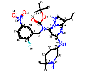 CCc1cnn2c(N(Cc3cc([N+](=O)[O-])ccc3F)C(=O)OC(C)(C)C)cc(NC3CCC(C)(C)NC3)nc12